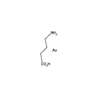 NCCCC(=O)O.[Au]